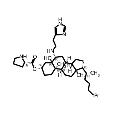 CC(C)CCC[C@@H](C)[C@H]1CC[C@H]2[C@@H]3C[C@@H](NCCc4c[nH]cn4)[C@@]4(O)C[C@@H](OC(=O)[C@@H]5CCCN5)CC[C@]4(C)[C@H]3CC[C@]12C